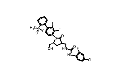 CP(C)(=O)c1ccccc1-c1ccc(N2C(=O)C(CNC(=O)Nc3ccc(Cl)cc3F)C[C@H]2CO)c(F)c1F